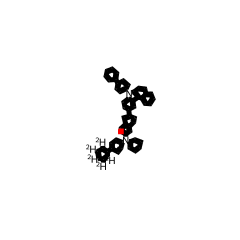 [2H]c1c([2H])c([2H])c(-c2ccc(N(c3ccccc3)c3ccc4cc(-c5ccc6c(c5)c5c7ccccc7ccc5n6-c5ccc(-c6ccccc6)cc5)ccc4c3)cc2)c([2H])c1[2H]